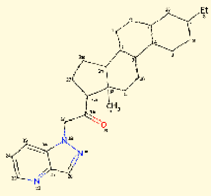 CCC1CCC2C(CCC3C2CCC2(C)C(C(=O)Cn4ncc5ncccc54)CCC32)C1